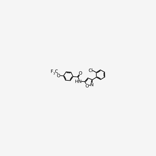 O=C(Nc1cc(-c2ccccc2Cl)no1)c1ccc(OC(F)(F)F)cc1